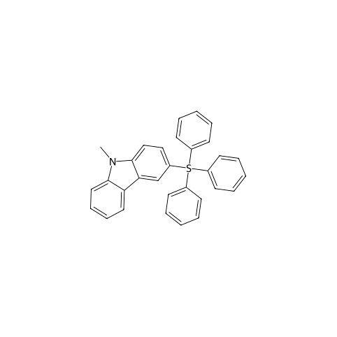 Cn1c2ccccc2c2cc(S(c3ccccc3)(c3ccccc3)c3ccccc3)ccc21